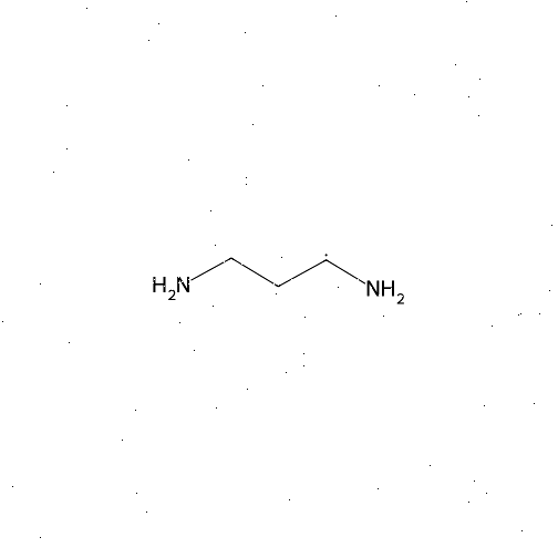 N[CH]CCN